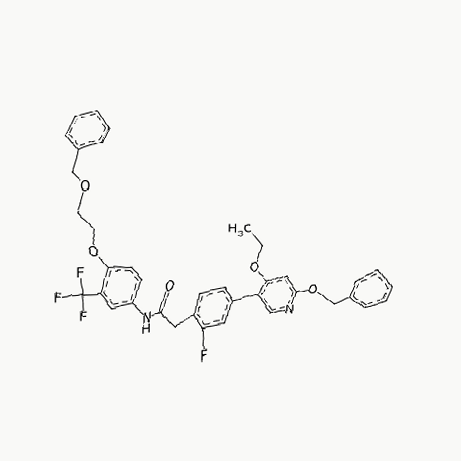 CCOc1cc(OCc2ccccc2)ncc1-c1ccc(CC(=O)Nc2ccc(OCCOCc3ccccc3)c(C(F)(F)F)c2)c(F)c1